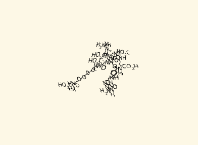 N=C(N)NCCC[C@H](NC(=O)[C@H](CC(=O)O)NC(=O)CC[C@H](NC(=O)c1ccc(NCc2cnc3nc(N)[nH]c(=O)c3n2)cc1)C(=O)O)C(=O)N[C@@H](CC(=O)O)C(=O)N[C@@H](CC(=O)O)C(=O)NCCOCCOCCOCCOCCC(=O)N[C@@H](CS)C(=O)O